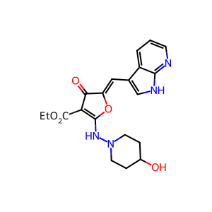 CCOC(=O)C1=C(NN2CCC(O)CC2)O/C(=C\c2c[nH]c3ncccc23)C1=O